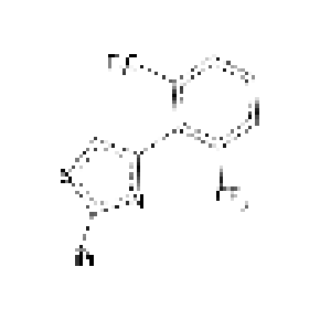 CC(C)c1nc(-c2c(C(F)(F)F)cccc2C(F)(F)F)cs1